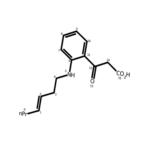 CCCC=CCCNc1ccccc1C(=O)CC(=O)O